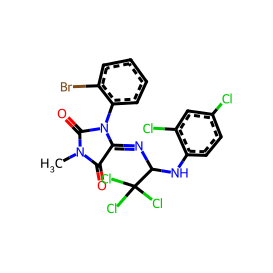 CN1C(=O)C(=NC(Nc2ccc(Cl)cc2Cl)C(Cl)(Cl)Cl)N(c2ccccc2Br)C1=O